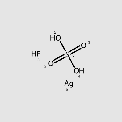 F.O=S(=O)(O)O.[Ag]